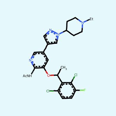 CCN1CCC(n2cc(-c3cnc(NC(C)=O)c(OC(C)c4c(Cl)ccc(F)c4Cl)c3)cn2)CC1